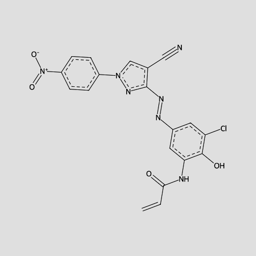 C=CC(=O)Nc1cc(N=Nc2nn(-c3ccc([N+](=O)[O-])cc3)cc2C#N)cc(Cl)c1O